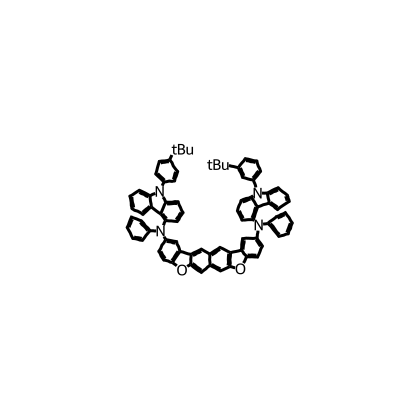 CC(C)(C)c1ccc(-n2c3ccccc3c3c(N(c4ccccc4)c4ccc5oc6cc7cc8oc9ccc(N(c%10ccccc%10)c%10cccc%11c%10c%10ccccc%10n%11-c%10cccc(C(C)(C)C)c%10)cc9c8cc7cc6c5c4)cccc32)cc1